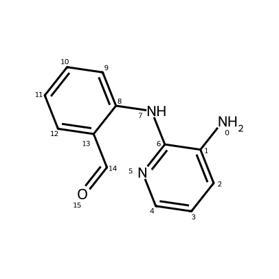 Nc1cccnc1Nc1ccccc1C=O